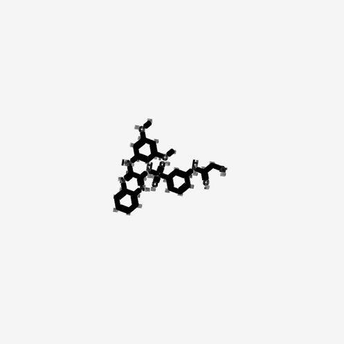 COc1cc(Nc2nc3ccccc3nc2NS(=O)(=O)c2cccc(NC(=O)CBr)c2)cc(OC)c1